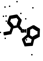 C1=Cc2ccccc2C1.C=Cc1ccccc1O